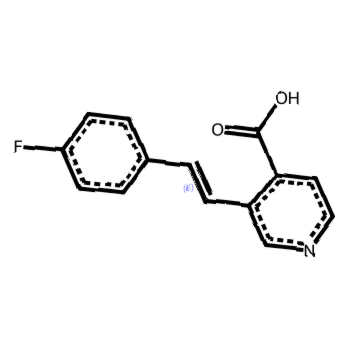 O=C(O)c1ccncc1/C=C/c1ccc(F)cc1